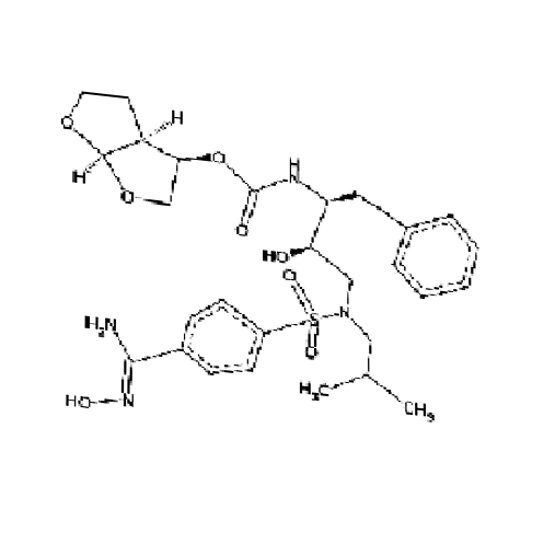 CC(C)CN(C[C@@H](O)[C@H](Cc1ccccc1)NC(=O)O[C@H]1CO[C@H]2OCC[C@H]21)S(=O)(=O)c1ccc(/C(N)=N/O)cc1